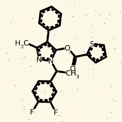 Cc1nn(C(C)c2ccc(F)c(F)c2)c(OC(=O)c2cccs2)c1-c1ccccc1